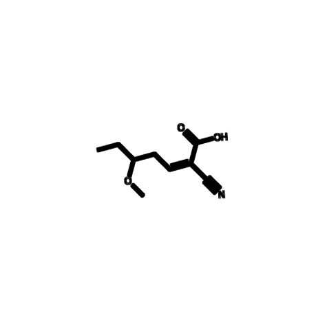 CCC(CC=C(C#N)C(=O)O)OC